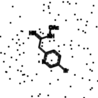 CC(=O)ONC(=N)Cc1ccc(Br)cn1